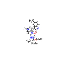 CN[C@@H](C)C(=O)N[C@@H](COC)C(=O)N1CC[C@@H]2[C@H]1[C@@H](c1c[nH]c3ccc(C)cc13)CN2C(C)=O